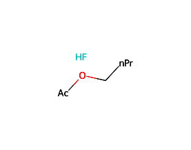 CCCCOC(C)=O.F